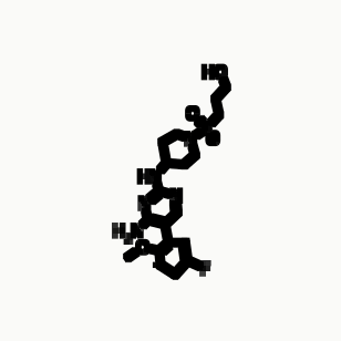 COC1=C(c2cnc(NC3CCN(S(=O)(=O)CCCO)CC3)nc2N)C=C(F)C[CH]1